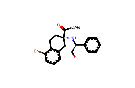 COC(=O)[C@]1(N[C@H](CO)c2ccccc2)CCc2c(Br)cccc2C1